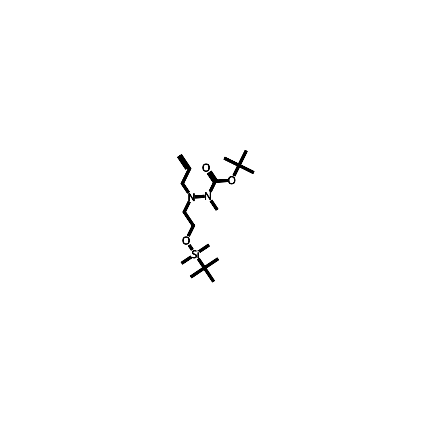 C=CCN(CCO[Si](C)(C)C(C)(C)C)N(C)C(=O)OC(C)(C)C